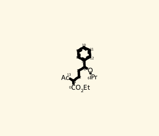 CCOC(=O)C(CCC(OC(C)C)c1ccccc1)C(C)=O